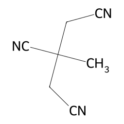 CC(C#N)(CC#N)CC#N